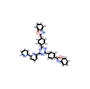 c1ccc(-c2cccc(-c3nc(-c4ccc(-c5nc6ccccc6o5)cc4)nc(-c4ccc(-c5nc6ccccc6o5)cc4)n3)n2)nc1